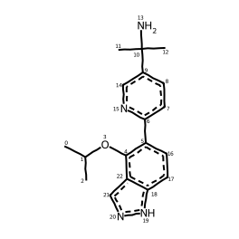 CC(C)Oc1c(-c2ccc(C(C)(C)N)cn2)ccc2[nH]ncc12